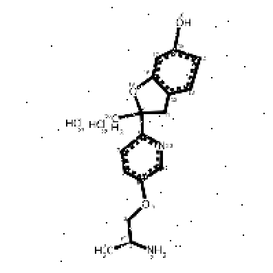 C[C@H](N)COc1ccc(C2(C)Cc3ccc(O)cc3O2)nc1.Cl.Cl